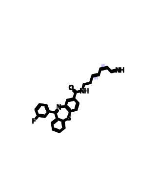 N=C/C=C\C=C\CCNC(=O)c1ccc2c(c1)N=C(c1cccc(F)c1)c1ccccc1S2